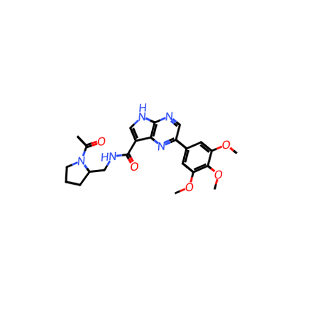 COc1cc(-c2cnc3[nH]cc(C(=O)NCC4CCCN4C(C)=O)c3n2)cc(OC)c1OC